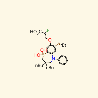 CCCCC1(CCCC)CN(c2ccccc2)c2cc(SCC)c(OC=C(F)C(=O)O)cc2S(O)(O)C1